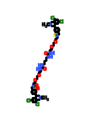 CN1Cc2c(Cl)cc(Cl)cc2C(c2ccc3c(c2)SN(CCOCCOCCNC(=O)NCCCCNC(=O)NCCOCCOCCN2Cc4ccc(C5CN(C)Cc6c(Cl)cc(Cl)cc65)cc4S2(=O)=O)C3)C1